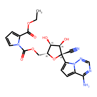 CCOC(=O)c1cccn1C(=O)OC[C@H]1O[C@@](C#N)(c2ccc3c(N)ncnn23)[C@H](O)[C@@H]1O